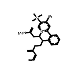 C=C(/C=C\C)CCC1c2ccccc2-c2cc(C(C)C)c([Si](C)(C)C)c[n+]2C1CC(=C)NC